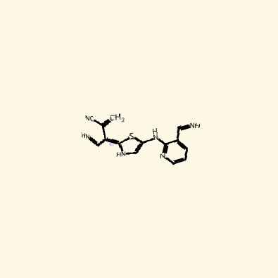 C=C(C#N)/C(C=N)=C1/NC=C(Nc2ncccc2C=N)S1